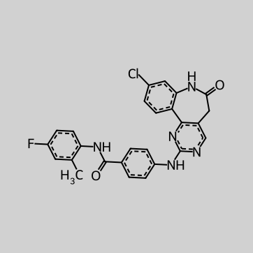 Cc1cc(F)ccc1NC(=O)c1ccc(Nc2ncc3c(n2)-c2ccc(Cl)cc2NC(=O)C3)cc1